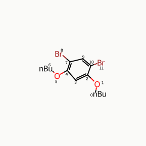 CCCCOc1cc(OCCCC)c(Br)cc1Br